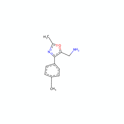 Cc1ccc(-c2nc(C)oc2CN)cc1